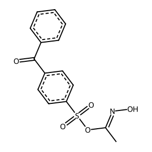 CC(=NO)OS(=O)(=O)c1ccc(C(=O)c2ccccc2)cc1